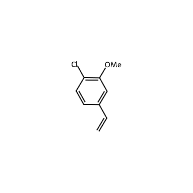 C=Cc1ccc(Cl)c(OC)c1